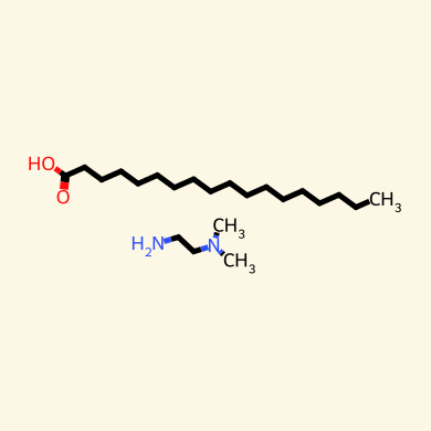 CCCCCCCCCCCCCCCCCC(=O)O.CN(C)CCN